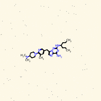 CCCC(CCC)Nc1nc(N)c2ncc(Cc3cnc(N4CCC(N(C)C)CC4)c(C)c3)n2n1